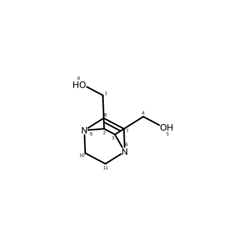 OCC1C(CO)N2C=CN1CC2